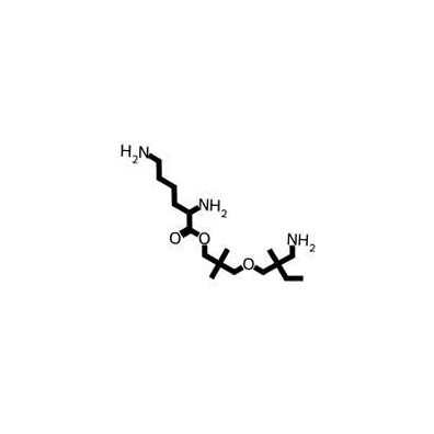 CCC(C)(CN)COCC(C)(C)COC(=O)C(N)CCCCN